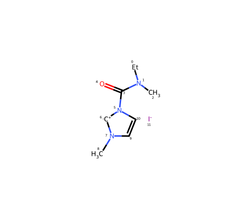 CCN(C)C(=O)N1[C+]N(C)C=C1.[I-]